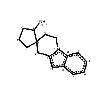 NC1CCCC12CCn1c(cc3ccccc31)C2